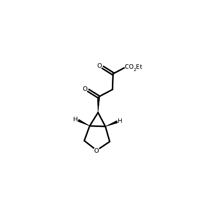 CCOC(=O)C(=O)CC(=O)[C@H]1[C@@H]2COC[C@@H]21